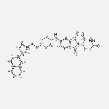 O=C1CCC(N2C(=O)c3ccc(NC4CCC(CCn5cc(-c6cnc7ccccc7n6)cn5)CC4)cc3C2=O)C(=O)N1